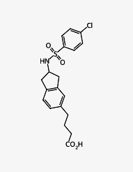 O=C(O)CCCc1ccc2c(c1)CC(NS(=O)(=O)c1ccc(Cl)cc1)C2